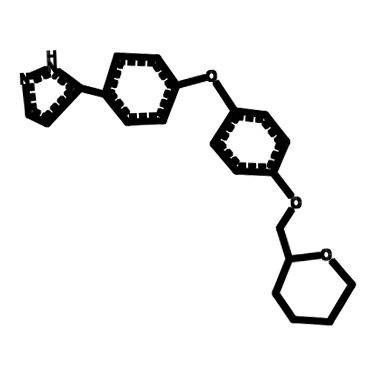 c1cc(-c2ccc(Oc3ccc(OCC4CCCCO4)cc3)cc2)[nH]n1